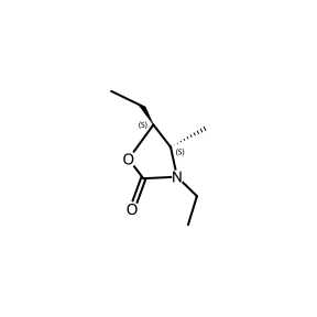 CC[C@@H]1OC(=O)N(CC)[C@H]1C